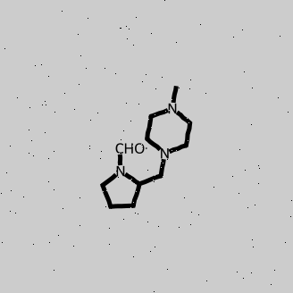 CN1CCN(CC2CCCN2[C]=O)CC1